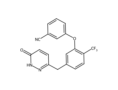 N#Cc1cccc(Oc2cc(Cc3ccc(=O)[nH]n3)ccc2C(F)(F)F)c1